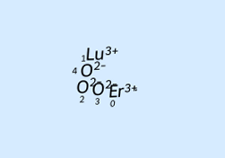 [Er+3].[Lu+3].[O-2].[O-2].[O-2]